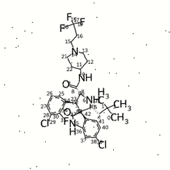 CC(C)(C)C[C@H]1N[C@@H](C(=O)NC2CCN(CCC(F)(F)F)CC2)[C@H](c2cccc(Cl)c2F)[C@@]12C(=O)Nc1cc(Cl)ccc12